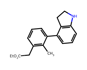 CCOC(=O)Cc1cccc(-c2cccc3c2CCN3)c1C